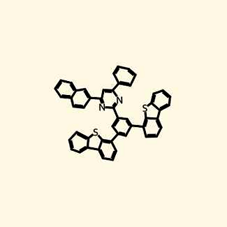 c1ccc(-c2cc(-c3ccc4ccccc4c3)nc(-c3cc(-c4cccc5c4sc4ccccc45)cc(-c4cccc5c4sc4ccccc45)c3)n2)cc1